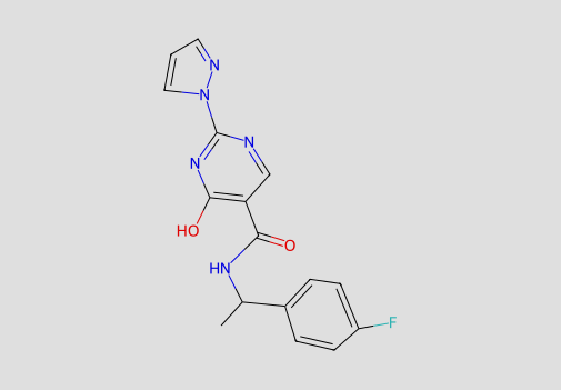 CC(NC(=O)c1cnc(-n2cccn2)nc1O)c1ccc(F)cc1